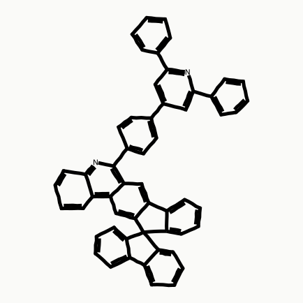 c1ccc(-c2cc(-c3ccc(-c4nc5ccccc5c5cc6c(cc45)-c4ccccc4C64c5ccccc5-c5ccccc54)cc3)cc(-c3ccccc3)n2)cc1